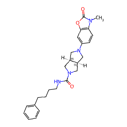 Cn1c(=O)oc2cc(N3C[C@H]4CN(C(=O)NCCCCc5ccccc5)C[C@H]4C3)ccc21